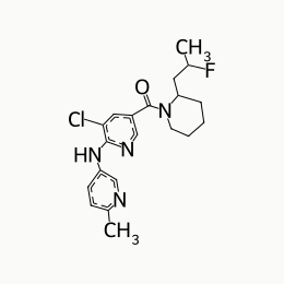 Cc1ccc(Nc2ncc(C(=O)N3CCCCC3CC(C)F)cc2Cl)cn1